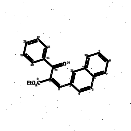 CCOC(=O)C(=Cc1ccc2ccccc2c1)C(=O)c1ccccc1